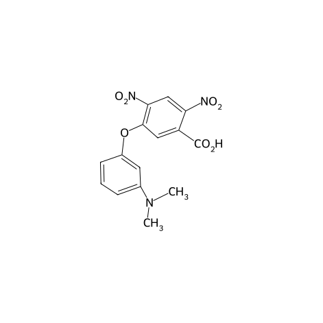 CN(C)c1cccc(Oc2cc(C(=O)O)c([N+](=O)[O-])cc2[N+](=O)[O-])c1